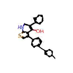 Cc1ccc(-c2ccc(-c3csc4c3C(O)=C(c3ccccc3)CN4)cc2)cc1